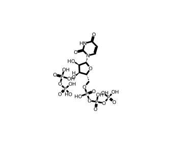 O=P(O)(O)OP(=O)(O)O.O=c1ccn([C@@H]2O[C@H](COP(=O)(O)OP(=O)(O)OP(=O)(O)O)[C@@H](O)[C@H]2O)c(=O)[nH]1